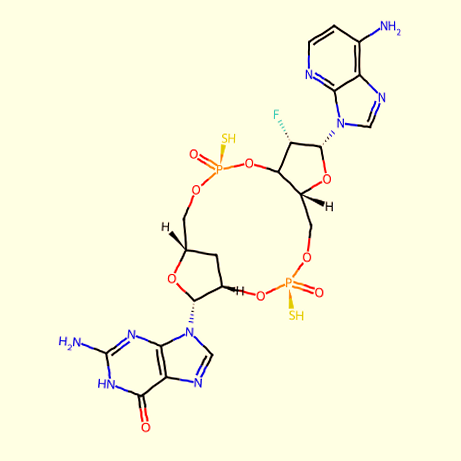 Nc1nc2c(ncn2[C@@H]2O[C@@H]3CO[P@@](=O)(S)OC4[C@@H](CO[P@@](=O)(S)O[C@H]2C3)O[C@@H](n2cnc3c(N)ccnc32)[C@H]4F)c(=O)[nH]1